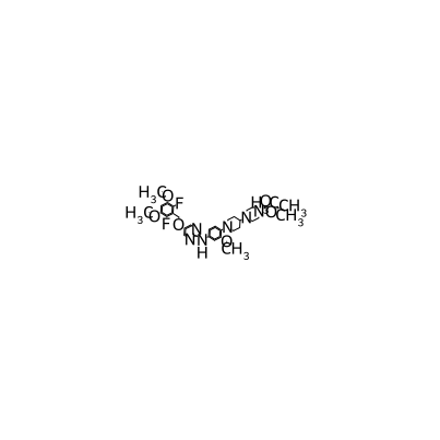 COc1cc(Nc2ncc(OCc3c(F)c(OC)cc(OC)c3F)cn2)ccc1N1CCC(N2CCN(C(=O)OC(C)(C)C)CC2)CC1